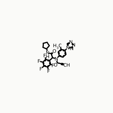 C#CC(=O)N(c1ccc(-n2cnnn2)c(C)c1)C(C(=O)NC1CCCC1)c1c(F)c(F)c(F)c(F)c1F